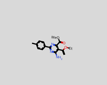 C=C(OCC)c1c(N)nc(-c2ccc(C)cc2)nc1C(=O)OC